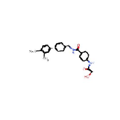 COc1ccc([C@H]2CC[C@H](CNC(=O)C3CCC(NC(=O)CO)CC3)CC2)cc1C